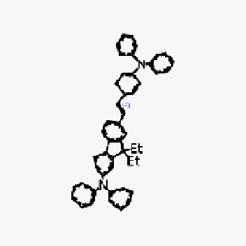 CCC1(CC)c2cc(/C=C/C3C=CC(N(c4ccccc4)c4ccccc4)=CC3)ccc2-c2ccc(N(c3ccccc3)c3ccccc3)cc21